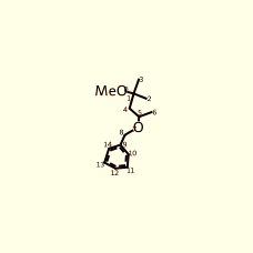 COC(C)(C)CC(C)OCc1ccccc1